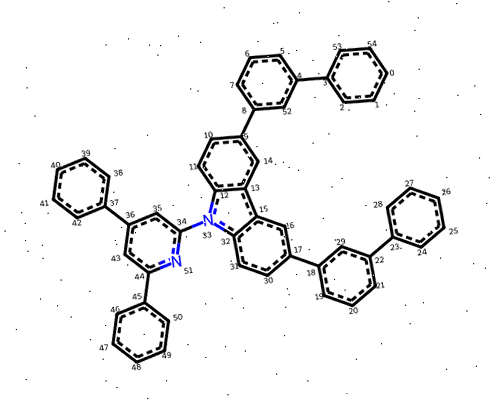 c1ccc(-c2cccc(-c3ccc4c(c3)c3cc(-c5cccc(-c6ccccc6)c5)ccc3n4-c3cc(-c4ccccc4)cc(-c4ccccc4)n3)c2)cc1